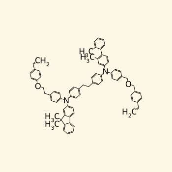 C=Cc1ccc(COCc2ccc(N(c3ccc(CCc4ccc(N(c5ccc(CCOc6ccc(C=C)cc6)cc5)c5ccc6c(c5)C(C)(C)c5ccccc5-6)cc4)cc3)c3ccc(-c4ccccc4C)c(C)c3)cc2)cc1